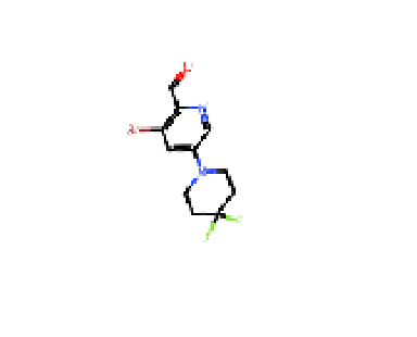 O=Cc1ncc(N2CCC(F)(F)CC2)cc1Br